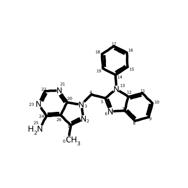 Cc1nn(Cc2nc3ccccc3n2-c2ccccc2)c2ncnc(N)c12